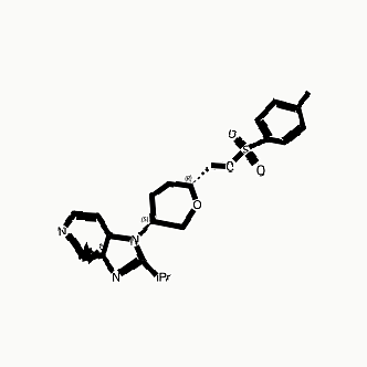 Cc1ccc(S(=O)(=O)OC[C@H]2CC[C@H](N3C(C(C)C)=NC45SC=CC4=NC=CC35)CO2)cc1